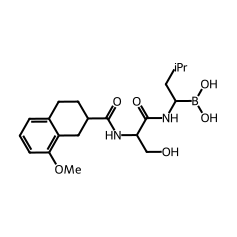 COc1cccc2c1CC(C(=O)NC(CO)C(=O)NC(CC(C)C)B(O)O)CC2